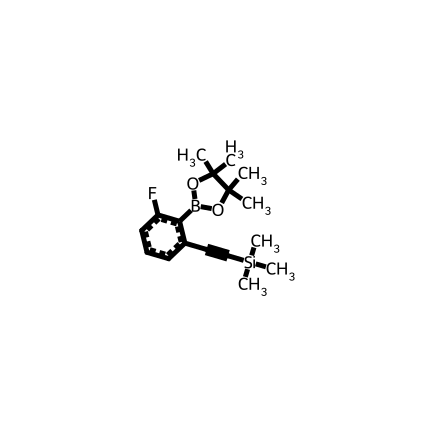 CC1(C)OB(c2c(F)cccc2C#C[Si](C)(C)C)OC1(C)C